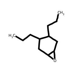 CCCC1CC2OC2CC1CCC